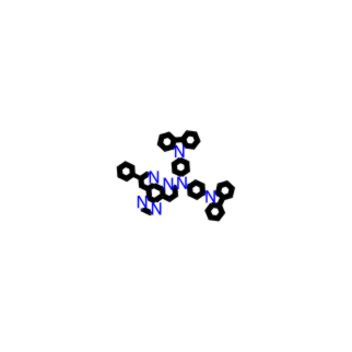 c1ccc(-c2cnc3c(c2)c2nccnc2c2ccc(N(c4ccc(-n5c6ccccc6c6ccccc65)cc4)c4ccc(-n5c6ccccc6c6ccccc65)cc4)nc23)cc1